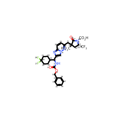 O=C(NC(c1cn2nc(CC3(C(=O)O)C[C@@H](C(F)(F)F)N(C(=O)O)C3=O)ccc2n1)C1CCC(F)(F)CC1)OCc1ccccc1